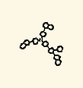 c1ccc(-c2cc(-c3ccc(N(c4ccc(-c5ccc6ccccc6c5)cc4)c4ccc(-c5cccc6ccccc56)cc4)cc3)ccc2-c2ccc3ccccc3c2)cc1